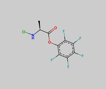 C[C@H](NCl)C(=O)Oc1c(F)c(F)c(F)c(F)c1F